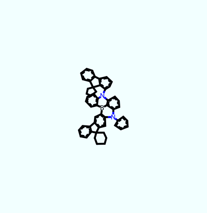 c1ccc(N2c3cc4c(cc3B3c5ccccc5N(c5cccc6c5C5(CCCC5)c5ccccc5-6)c5cccc2c53)-c2ccccc2C42CCCCC2)cc1